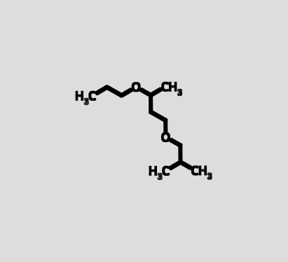 CCCOC(C)CCOCC(C)C